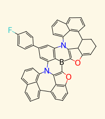 Fc1ccc(-c2cc3c4c(c2)-n2c5cccc6cccc(c7cccc8oc(c2c87)B4C2=C4C7C(=CCCC7c7cccc8cccc(c78)N43)O2)c65)cc1